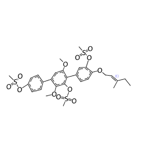 CC/C(C)=C/COc1ccc(-c2c(OC)cc(-c3ccc(OS(C)(=O)=O)cc3)c(OC)c2OS(C)(=O)=O)cc1OS(C)(=O)=O